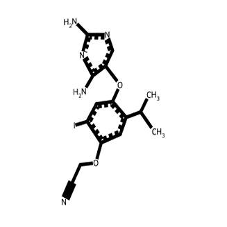 CC(C)c1cc(OCC#N)c(I)cc1Oc1cnc(N)nc1N